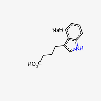 O=C(O)CCCc1c[nH]c2ccccc12.[NaH]